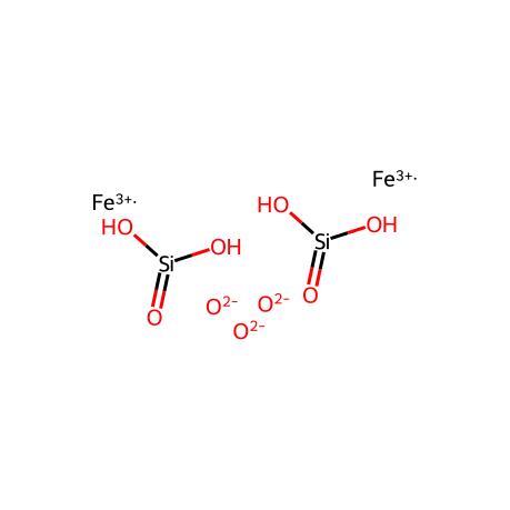 O=[Si](O)O.O=[Si](O)O.[Fe+3].[Fe+3].[O-2].[O-2].[O-2]